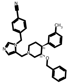 Cc1cccc([C@@H]2CCN(Cc3cncn3Cc3ccc(C#N)cc3)C[C@H]2OCc2ccccc2)c1